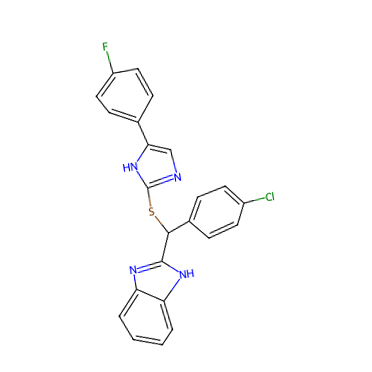 Fc1ccc(-c2cnc(SC(c3ccc(Cl)cc3)c3nc4ccccc4[nH]3)[nH]2)cc1